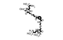 NC(CCC(=O)NC(CSSCCNC(=O)c1cccc(C(=O)NCCSSCC(NC(=O)CCC(N)C(=O)O)C(=O)NCC(=O)O)c1)C(=O)NCC=O)C(=O)O